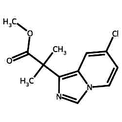 COC(=O)C(C)(C)c1ncn2ccc(Cl)cc12